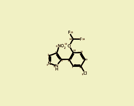 O=[N+]([O-])c1cn[nH]c1-c1cc(Cl)ccc1OC(F)F